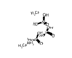 O=[Si](O)O.O=[Si](O)O.O=[Si](O)O.[AlH3].[CaH2].[CaH2]